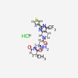 CC1CCC(=O)N(CC(N)CC(=O)N2CCc3c(nc(-c4ccsc4)nc3C(F)(F)F)C2)C1=O.Cl